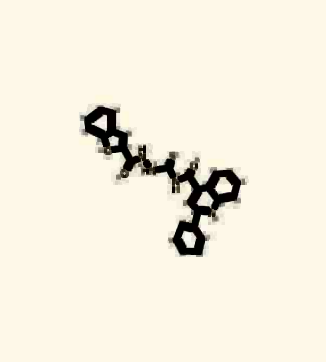 O=C(NNC(=S)NC(=O)c1cc(-c2ccccc2)nc2ccccc12)c1cc2ccccc2o1